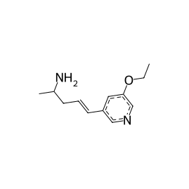 CCOc1cncc(C=CCC(C)N)c1